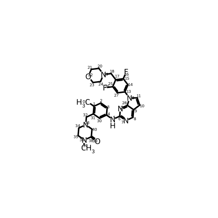 Cc1ccc(Nc2ncc3ccn(-c4cc(F)c(CN5CCOCC5)c(F)c4)c3n2)cc1CN1CCN(C)C(=O)C1